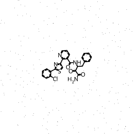 NC(=O)C(=O)C(Cc1ccccc1)NC(=O)c1cccnc1-c1csc(-c2ccccc2Cl)n1